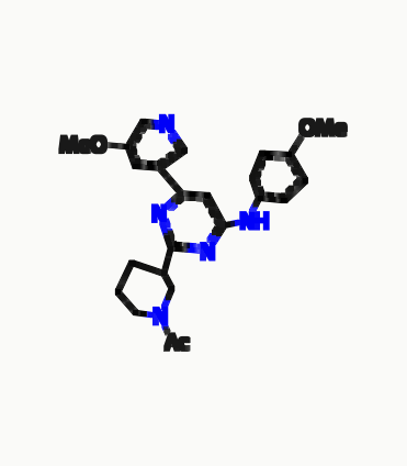 COc1ccc(Nc2cc(-c3cncc(OC)c3)nc(C3CCCN(C(C)=O)C3)n2)cc1